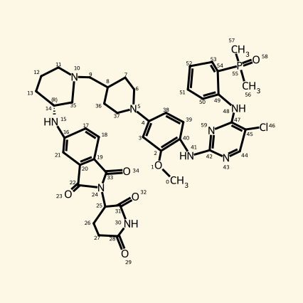 COc1cc(N2CCC(CN3CCC[C@@H](Nc4ccc5c(c4)C(=O)N(C4CCC(=O)NC4=O)C5=O)C3)CC2)ccc1Nc1ncc(Cl)c(Nc2ccccc2P(C)(C)=O)n1